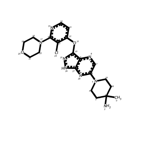 CC1(N)CCN(c2cnc3c(Oc4ccnc(N5CCOCC5)c4Cl)n[nH]c3n2)CC1